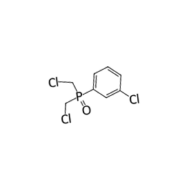 O=P(CCl)(CCl)c1cccc(Cl)c1